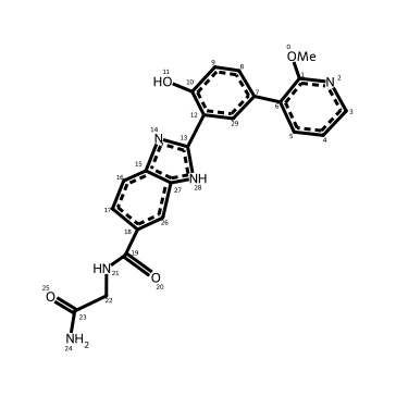 COc1ncccc1-c1ccc(O)c(-c2nc3ccc(C(=O)NCC(N)=O)cc3[nH]2)c1